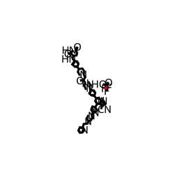 N#Cc1cnn2cc(-c3ccc(N4CCN(C(=O)CN5CCC(c6ccc(NC7CCC(=O)NC7=O)cc6)CC5)CC4)cc3)cc(-c3ccc(N4CCN(CCc5ccccn5)CC4)nc3)c12.O=C(O)C(F)(F)F